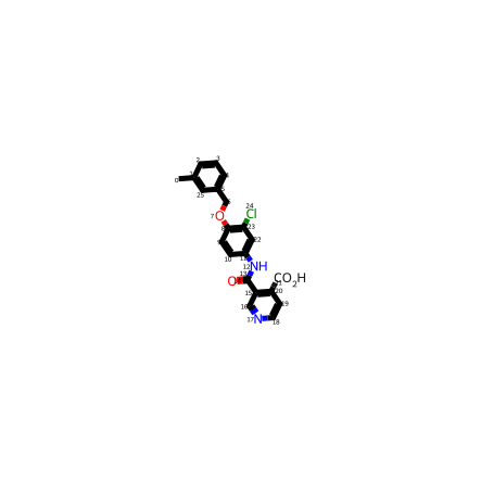 Cc1cccc(COc2ccc(NC(=O)c3cnccc3C(=O)O)cc2Cl)c1